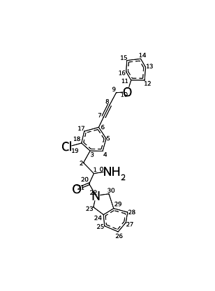 NC(Cc1ccc(C#CCOc2ccccc2)cc1Cl)C(=O)N1Cc2ccccc2C1